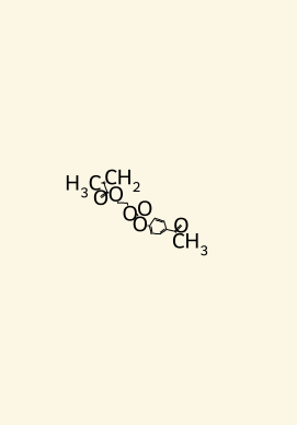 C=C(C)C(=O)OCCOC(=O)Oc1ccc(C(C)=O)cc1